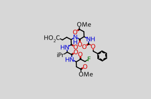 COC(=O)CC(NC(=O)C(NC(=O)C(CCC(=O)O)NC(=O)C(CC(=O)OC)NC(=O)OCc1ccccc1)C(C)C)C(=O)CF